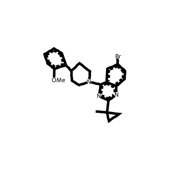 COc1ccccc1C1CCN(c2nc(C3(C)CC3)nc3ccc(Br)cc23)CC1